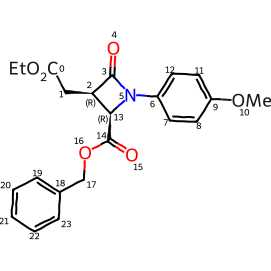 CCOC(=O)C[C@H]1C(=O)N(c2ccc(OC)cc2)[C@H]1C(=O)OCc1ccccc1